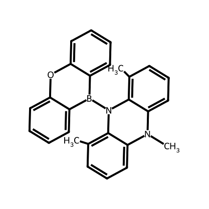 Cc1cccc2c1N(B1c3ccccc3Oc3ccccc31)c1c(C)cccc1N2C